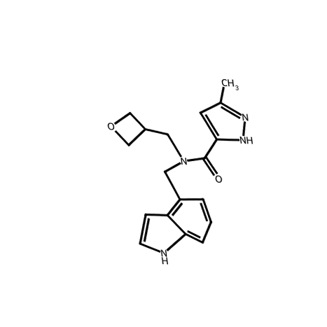 Cc1cc(C(=O)N(Cc2cccc3[nH]ccc23)CC2COC2)[nH]n1